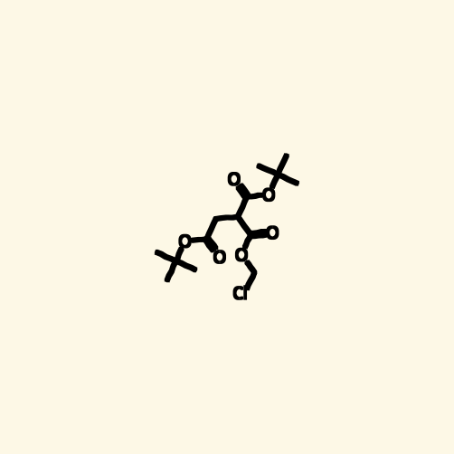 CC(C)(C)OC(=O)CC(C(=O)OCCl)C(=O)OC(C)(C)C